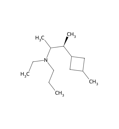 CCCN(CC)C(C)[C@@H](C)C1CC(C)C1